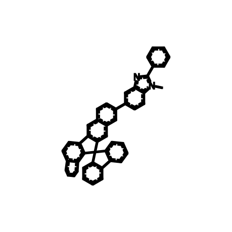 Cn1c(-c2ccccc2)nc2cc(-c3ccc4cc5c(cc4c3)C3(c4ccccc4-c4ccccc43)c3c-5ccc4ccccc34)ccc21